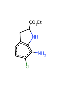 CCOC(=O)C1Cc2ccc(Cl)c(N)c2N1